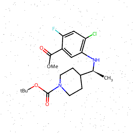 COC(=O)c1cc(N[C@@H](C)C2CCN(C(=O)OC(C)(C)C)CC2)c(Cl)cc1F